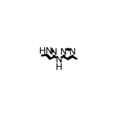 Cc1cc(Nc2cc(C)[nH]n2)ncn1